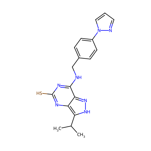 CC(C)c1[nH]nc2c(NCc3ccc(-n4cccn4)cc3)nc(S)nc12